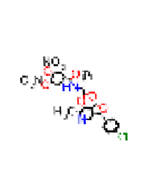 Cc1ncc2c(c1OC(=O)[C@@H](CC(C)C)NC(=O)[C@@H]1C[C@H](O[N+](=O)[O-])[C@H](O[N+](=O)[O-])C1)CO[C@H]2c1ccc(Cl)cc1